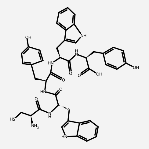 N[C@@H](CS)C(=O)N[C@@H](Cc1c[nH]c2ccccc12)C(=O)N[C@@H](Cc1ccc(O)cc1)C(=O)N[C@@H](Cc1c[nH]c2ccccc12)C(=O)N[C@@H](Cc1ccc(O)cc1)C(=O)O